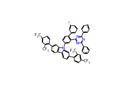 Fc1cccc(-c2ccc(-n3c4cc(-c5ccc(C(F)(F)F)cc5C(F)(F)F)ccc4c4ccc(-c5ccc(C(F)(F)F)cc5C(F)(F)F)cc43)cc2-c2nc(-c3ccccc3)nc(-c3ccccc3)n2)c1